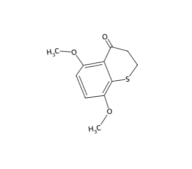 COc1ccc(OC)c2c1SCCC2=O